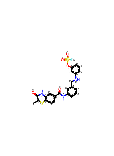 CC1Sc2ccc(C(=O)Nc3cccc(CNc4cccc(OS(=O)(=O)F)c4)c3)cc2NC1=O